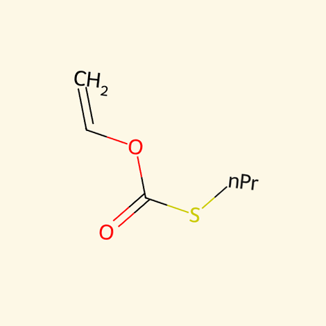 [CH2]CCSC(=O)OC=C